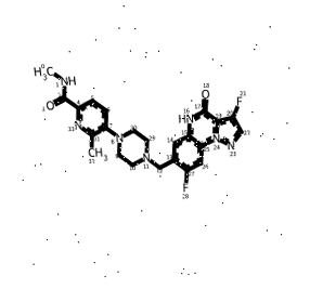 CNC(=O)c1ccc(N2CCN(Cc3cc4[nH]c(=O)c5c(F)cnn5c4cc3F)CC2)c(C)n1